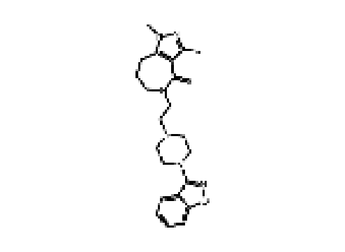 C=C1c2c(C)nn(C)c2CCCN1CCN1CCN(c2noc3ccccc23)CC1